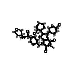 Cn1c(=O)c2c(nc(-c3ccccc3Cl)n2-c2ccc(Cl)cc2)n(Cc2ccc(C(=O)NC3CCOC3)cn2)c1=O